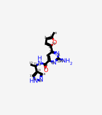 Cc1ccc(-c2cc(C(=O)NC(C)c3cn[nH]c3)nc(N)n2)o1